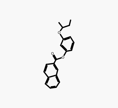 CCC(C)Oc1cccc(OC(=O)c2ccc3ccccc3c2)c1